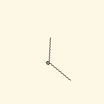 CCCCCCCCCCCCCCCCCCc1cc[n+](C)cc1CCCCCCCCCCCCCCCCCC